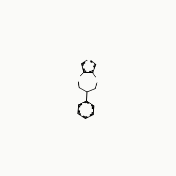 c1ccc(C2COc3cscc3OC2)cc1